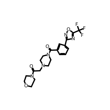 O=C(CN1CCN(C(=O)c2cccc(-c3noc(C(F)(F)F)n3)c2)CC1)N1CCOCC1